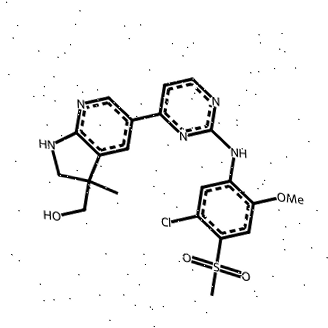 COc1cc(S(C)(=O)=O)c(Cl)cc1Nc1nccc(-c2cnc3c(c2)C(C)(CO)CN3)n1